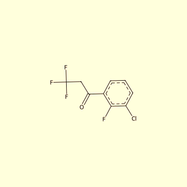 O=C(CC(F)(F)F)c1cccc(Cl)c1F